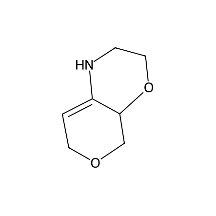 C1=C2NCCOC2COC1